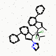 CC1=Cc2c(-c3ccccc3)cccc2[CH]1[Zr]([Cl])([Cl])([CH]1C(n2cccn2)=Cc2c(-c3ccccc3)cccc21)=[Si](C)C